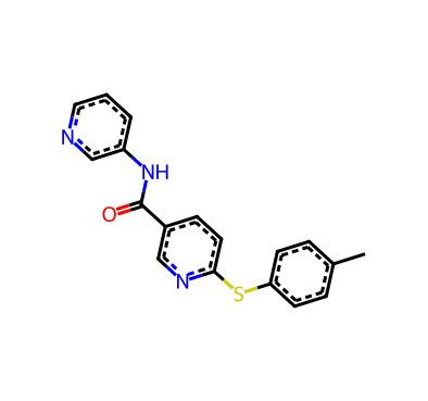 Cc1ccc(Sc2ccc(C(=O)Nc3cccnc3)cn2)cc1